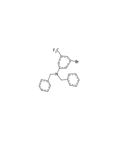 FC(F)(F)c1cc(Br)cc(N(Cc2ccccc2)Cc2ccccc2)c1